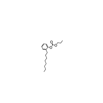 CCCCCCCCc1ccccc1OC(=O)OCCC